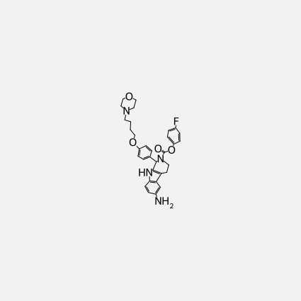 Nc1ccc2[nH]c3c(c2c1)CCN(C(=O)Oc1ccc(F)cc1)C3c1ccc(OCCCCN2CCOCC2)cc1